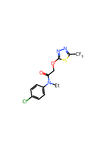 CCN(C(=O)COc1nnc(C(F)(F)F)s1)c1ccc(Cl)cc1